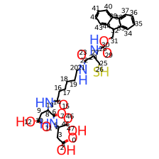 O=C(O)CC(NC(=O)C(CC(=O)O)NC(=O)CCCCCNC(=O)C(CS)NC(=O)OCC1c2ccccc2-c2ccccc21)C(=O)O